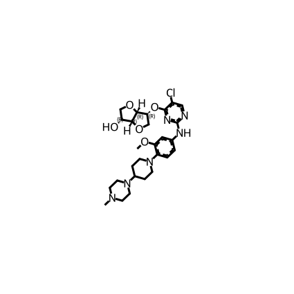 COc1cc(Nc2ncc(Cl)c(O[C@@H]3CO[C@H]4[C@@H]3OC[C@H]4O)n2)ccc1N1CCC(N2CCN(C)CC2)CC1